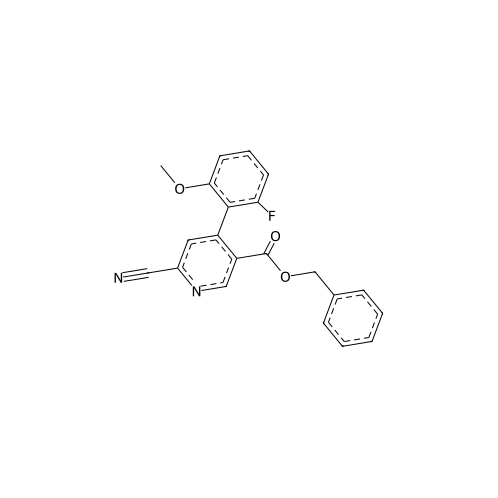 COc1cccc(F)c1-c1cc(C#N)ncc1C(=O)OCc1ccccc1